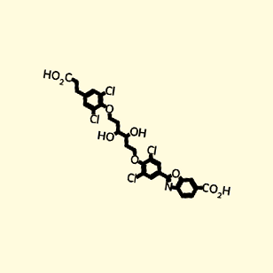 O=C(O)CCc1cc(Cl)c(OCCC(O)C(O)CCOc2c(Cl)cc(-c3nc4ccc(C(=O)O)cc4o3)cc2Cl)c(Cl)c1